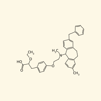 CCOC(Cc1ccc(OCCN(C)C2c3ccc(C)cc3CCc3cc(Cc4ccccc4)ccc32)cc1)C(=O)O